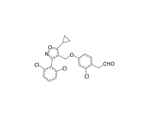 O=CCc1ccc(OCc2c(-c3c(Cl)cccc3Cl)noc2C2CC2)cc1Cl